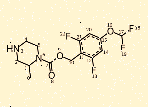 CC1CNCCN1C(=O)OCc1c(F)cc(OC(F)F)cc1F